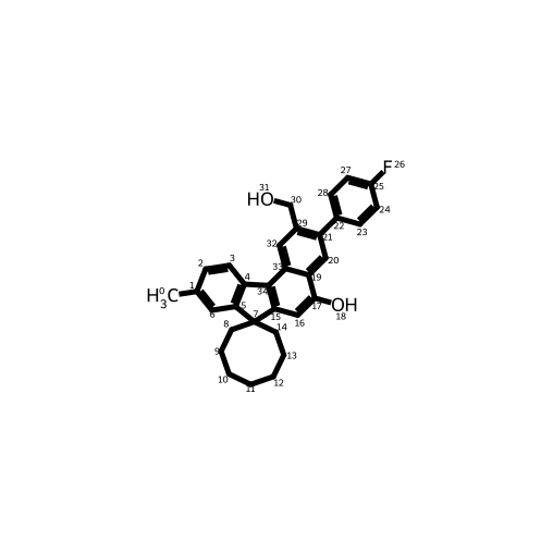 Cc1ccc2c(c1)C1(CCCCCCC1)c1cc(O)c3cc(-c4ccc(F)cc4)c(CO)cc3c1-2